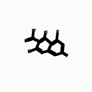 O=[N+]([O-])c1c(Cl)nc2cc(F)cc(F)c2c1Cl